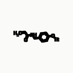 C=CC(=O)NCc1ccc(OCC)cc1